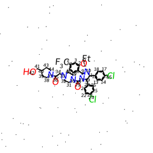 CCOc1cc(C(F)(F)F)ccc1C1=NC(c2ccc(Cl)cc2)C(c2ccc(Cl)cc2)N1C(=O)N1CCN(CC(=O)N2CCC(CO)CC2)CC1